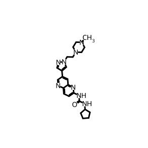 CN1CCN(CCn2cc(-c3cnc4ccc(NC(=O)NC5CCCC5)nc4c3)cn2)CC1